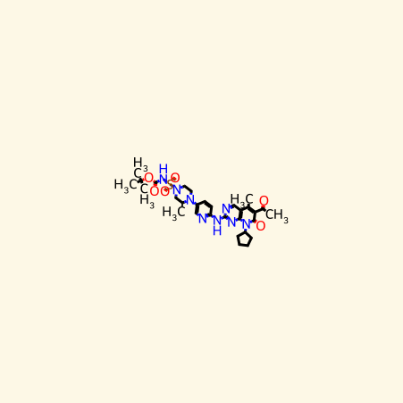 CC(=O)c1c(C)c2cnc(Nc3ccc(N4CCN(S(=O)(=O)NC(=O)OC(C)(C)C)C[C@@H]4C)cn3)nc2n(C2CCCC2)c1=O